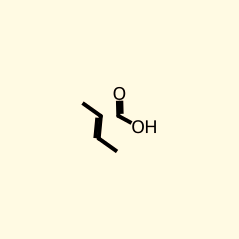 CC=CC.O=CO